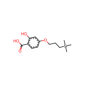 C[Si](C)(C)CCCOc1ccc(C(=O)O)c(O)c1